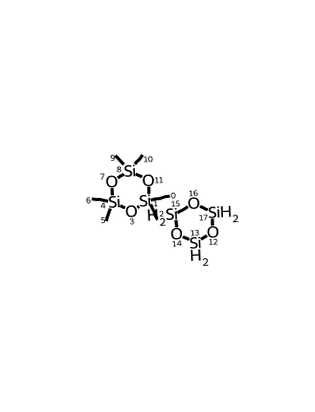 C[Si]1(C)O[Si](C)(C)O[Si](C)(C)O1.O1[SiH2]O[SiH2]O[SiH2]1